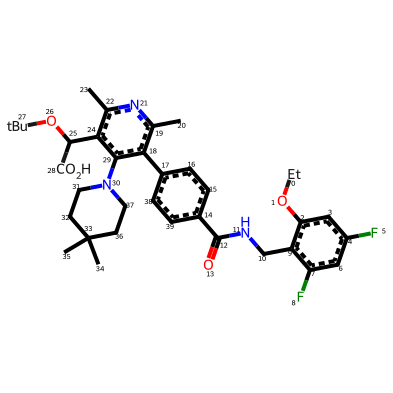 CCOc1cc(F)cc(F)c1CNC(=O)c1ccc(-c2c(C)nc(C)c(C(OC(C)(C)C)C(=O)O)c2N2CCC(C)(C)CC2)cc1